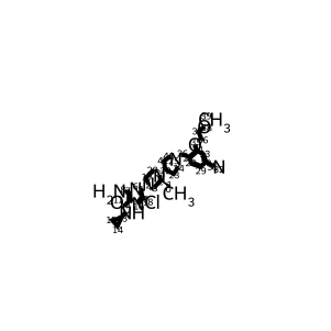 CC[C@H]1CN(c2nc(N)c(C(=O)NC3CC3)nc2Cl)CCN1C1CCN(Cc2ccc(C#N)cc2OCCOC)CC1